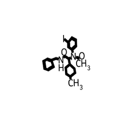 CC(=O)N(c1cccc(I)c1)C(C(=O)NCc1ccccc1)C1CCC(C)CC1